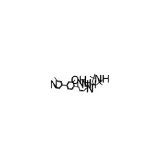 Cc1cc(-c2ccc(C(=N)/C=C\C(=N)N(C)C3CC(C)(C)NC(C)(C)C3)c(O)c2)ccn1